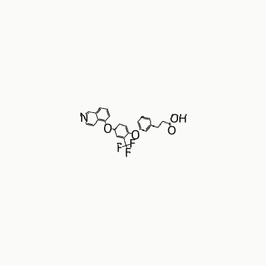 O=C(O)CCc1cccc(OC2=CCC(Oc3cccc4cnccc34)C=C2C(F)(F)F)c1